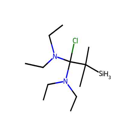 CCN(CC)C(Cl)(N(CC)CC)C(C)(C)[SiH3]